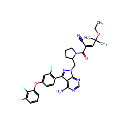 CCOC(C)(C)C=C(C#N)C(=O)N1CCCC1Cn1nc(-c2ccc(Oc3cccc(F)c3F)cc2F)c2c(N)ncnc21